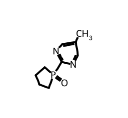 Cc1cnc(P2(=O)CCCC2)nc1